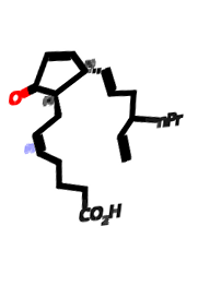 C=CC(CC=C[C@H]1C=CC(=O)[C@@H]1C/C=C\CCCC(=O)O)CCC